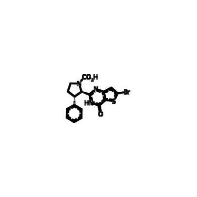 O=C(O)N1CC[C@@H](c2ccccc2)[C@@H]1c1nc2cc(Br)sc2c(=O)[nH]1